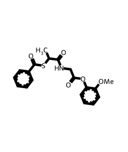 COc1ccccc1OC(=O)CNC(=O)C(C)SC(=O)c1ccccc1